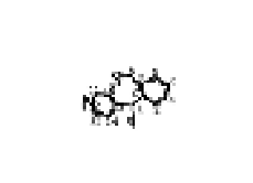 IC1c2ccccc2CSc2cnccc21